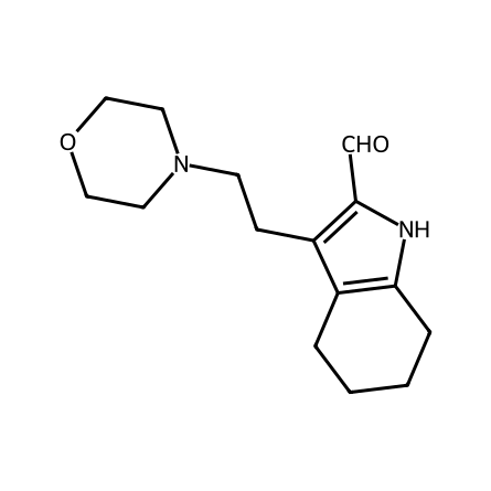 O=Cc1[nH]c2c(c1CCN1CCOCC1)CCCC2